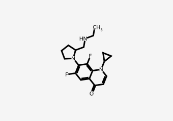 CCNCC1CCCN1c1c(F)cc2c(=O)ccn(C3CC3)c2c1F